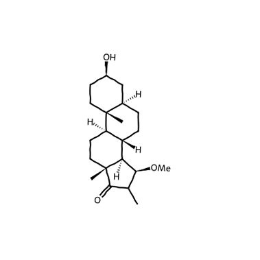 CO[C@H]1C(C)C(=O)[C@]2(C)CC[C@@H]3[C@H](CC[C@@H]4C[C@H](O)CC[C@]43C)[C@@H]12